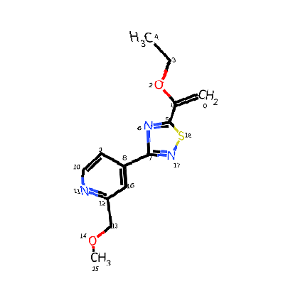 C=C(OCC)c1nc(-c2ccnc(COC)c2)ns1